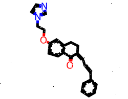 O=C1C(=CC=Cc2ccccc2)CCc2cc(OCCn3ccnc3)ccc21